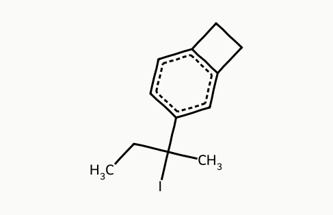 CCC(C)(I)c1ccc2c(c1)CC2